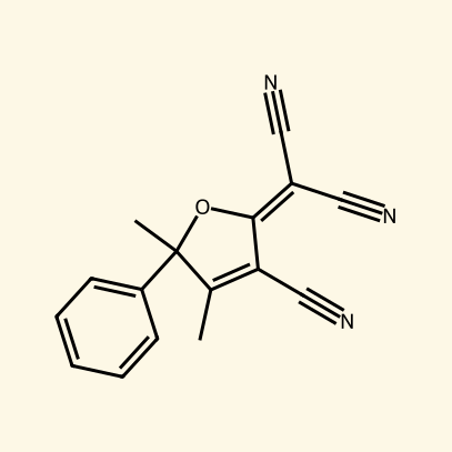 CC1=C(C#N)C(=C(C#N)C#N)OC1(C)c1ccccc1